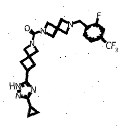 O=C(N1CC2(CC(c3nc(C4CC4)n[nH]3)C2)C1)N1CC2(CN(Cc3ccc(C(F)(F)F)cc3F)C2)C1